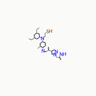 C=C(Cn1cc(C(=C)/C=N\c2ccc(N(CCS)c3cc(CC)cc(CC)c3)cc2C)cn1)NC